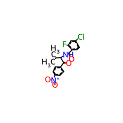 CC(C)C(NC(=O)c1ccc(Cl)cc1F)C(=O)c1ccc([N+](=O)[O-])cc1